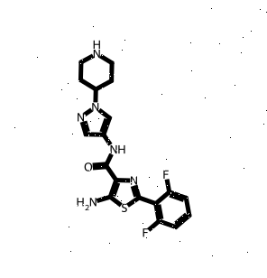 Nc1sc(-c2c(F)cccc2F)nc1C(=O)Nc1cnn(C2CCNCC2)c1